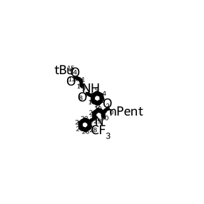 CCCCC[C@@H](Oc1ccc(C(=O)NCCC(=O)OC(C)(C)C)cc1)c1ccc(-c2ccccc2C(F)(F)F)nc1